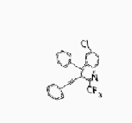 FC(F)(F)c1nc2ccc(Cl)cc2c(-c2ccccc2)c1C#Cc1ccccc1